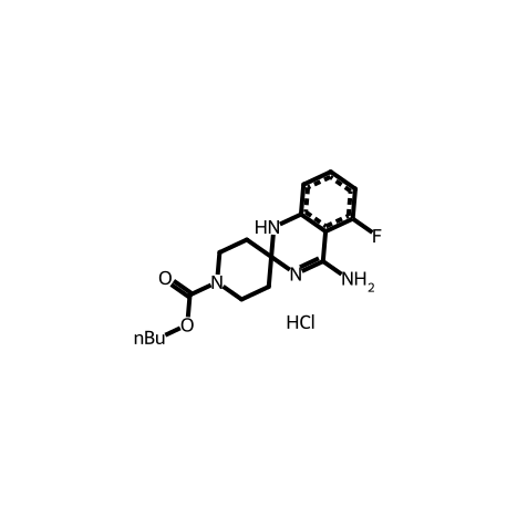 CCCCOC(=O)N1CCC2(CC1)N=C(N)c1c(F)cccc1N2.Cl